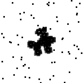 N#Cc1ccccc1-c1ccc2c3ccccc3n(-c3ccc(-c4nc(-c5ccccc5)nc(-c5ccccc5)n4)cc3-c3nc(-c4ccccc4)nc(-c4ccccc4)n3)c2c1